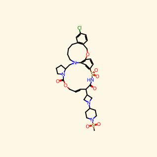 CS(=O)(=O)N1CCC(N2CC(C3/C=C/COC(=O)N4CCCC4CN4CCCCc5cc(Cl)ccc5COc5ccc(cc54)S(=O)(=O)NC3=O)C2)CC1